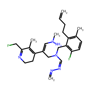 C=CCCc1c(C)ccc(F)c1CN(/C=N\N=C)C/C(=C\N(C)N)C1=C(C)C(CF)=NCC1